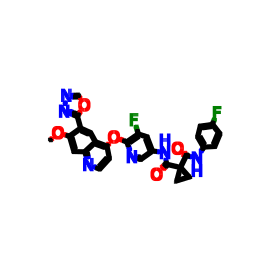 COc1cc2nccc(Oc3ncc(NC(=O)C4(C(=O)Nc5ccc(F)cc5)CC4)cc3F)c2cc1-c1nnco1